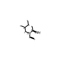 C=CN(CC(C)CC)C(C)=N